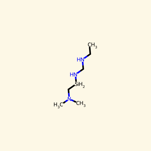 CCNCN[SiH2]CN(C)C